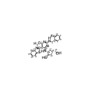 Cc1nc(NCc2ccccc2F)nc(N[C@@H]2C[C@H](CO)C[C@H]2O)c1-c1nc2ccccc2s1